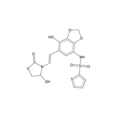 O=C1OCC(O)N1/C=C/c1cc(NS(=O)(=O)c2cccs2)c2c(c1O)OCO2